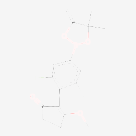 C=C1OB(c2cc(F)c(C3=C(OC)CCC3=O)c(Cl)c2)OC1(C)C